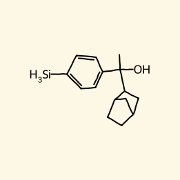 CC(O)(c1ccc([SiH3])cc1)C1CC2CCC1C2